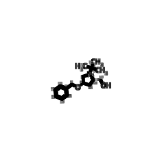 CC(C)(C)N1C[C@H](OCc2ccccc2)C[C@H]1CO